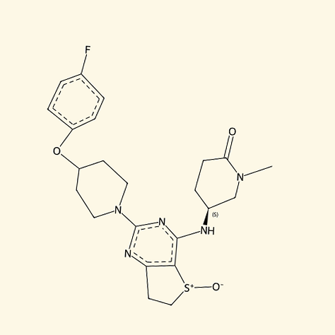 CN1C[C@@H](Nc2nc(N3CCC(Oc4ccc(F)cc4)CC3)nc3c2[S+]([O-])CC3)CCC1=O